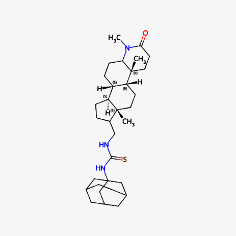 CN1C(=O)CC[C@@]2(C)C1CC[C@@H]1[C@H]2CC[C@]2(C)C(CNC(=S)NC34CC5CC(CC(C5)C3)C4)CC[C@@H]12